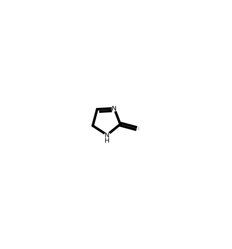 [C]=C1N=CCN1